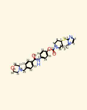 Cn1ccnc1SC1CCN(C(=O)Oc2ccc(NC(=O)c3ccc(CN4CCOCC4)cc3)cc2)CC1